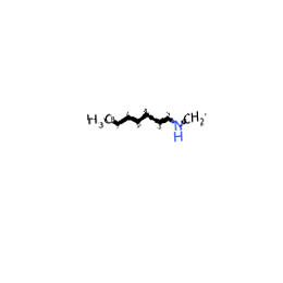 [CH2]NCCCCCCC